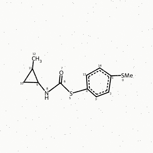 CSc1ccc(SC(=O)NC2CC2C)cc1